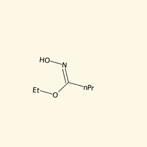 [CH2]CCC(=NO)OCC